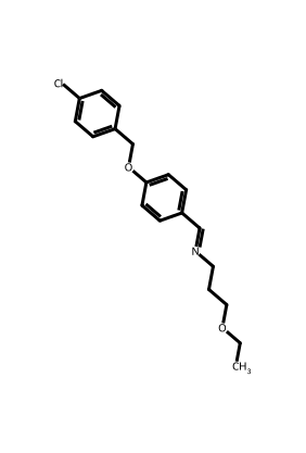 CCOCCCN=Cc1ccc(OCc2ccc(Cl)cc2)cc1